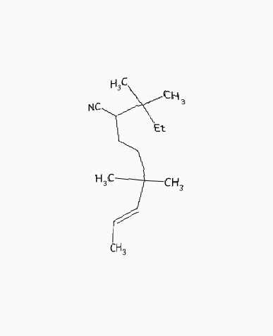 CC=CC(C)(C)CCC(C#N)C(C)(C)CC